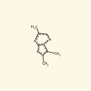 Cc1cnc2c(C)n(C)nc2n1